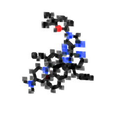 CCC(O[Si](C(C)C)(C(C)C)C(C)C)N1C=C(C2(Nc3cc([N+](=O)[O-])c(N4CCC(N(C)C)CC4)cc3OC)NC=CC(COC)(c3ccc4ccccc4c3)N2)NC1